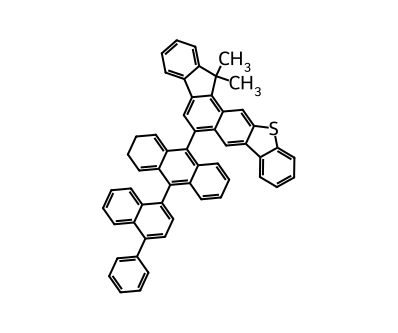 CC1(C)c2ccccc2-c2cc(-c3c4c(c(-c5ccc(-c6ccccc6)c6ccccc56)c5ccccc35)=CCCC=4)c3cc4c(cc3c21)sc1ccccc14